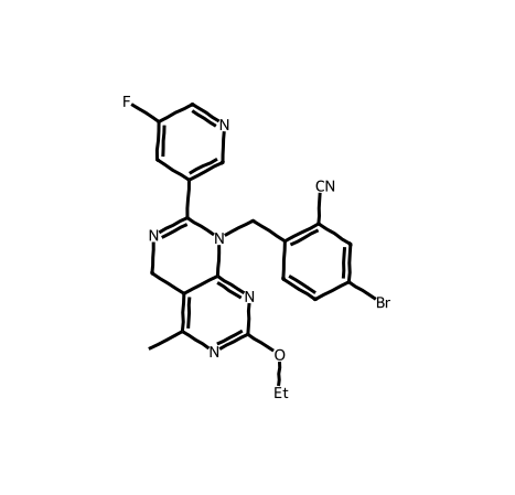 CCOc1nc(C)c2c(n1)N(Cc1ccc(Br)cc1C#N)C(c1cncc(F)c1)=NC2